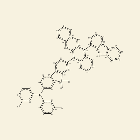 Cc1cccc(N(c2cccc(C)c2)c2ccc3c(c2)C(C)(C)c2cc(-c4c5ccccc5c(-c5cccc6c5sc5ccccc56)c5cc6ccccc6cc45)ccc2-3)c1